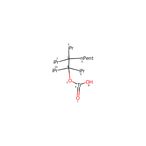 CCCCCC(C(C)C)(C(C)C)C([O][Ti](=[O])[OH])(C(C)C)C(C)C